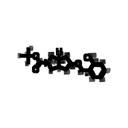 CC(C)(C)OC(=O)N1CC2C[C@H](OCc3ccccc3Cl)C[C@H]2C1